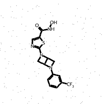 O=C(NO)c1cnc(N2CC3C2CN3c2cccc(C(F)(F)F)c2)s1